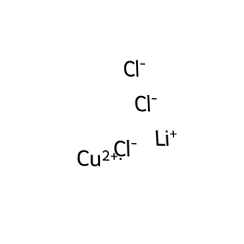 [Cl-].[Cl-].[Cl-].[Cu+2].[Li+]